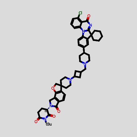 CC(C)(C)N1C(=O)CC[C@H](N2Cc3c(ccc4c3OCC43CCN(C4CC(CN5CCC(c6ccc7c(c6)C6(CCCCC6)c6nc(=O)c8c(Cl)cccc8n6-7)CC5)C4)CC3)C2=O)C1=O